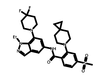 CCn1ncc2cc(NC(=O)c3ccc(S(C)(=O)=O)cc3N3CCC4(CC3)CC4)cc(N3CCC(F)(F)CC3)c21